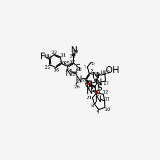 CCc1nc2sc(N3C4CCC3CC(C(=O)N3CC(O)C3)C4)nn2c1N(C)c1nc(-c2ccc(F)cc2)c(C#N)s1